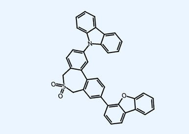 O=S1(=O)Cc2cc(-c3cccc4c3oc3ccccc34)ccc2-c2cc(-n3c4ccccc4c4ccccc43)ccc2C1